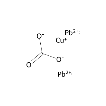 O=C([O-])[O-].[Cu+].[Pb+2].[Pb+2]